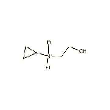 CC[N+](CC)(CCO)C1CC1